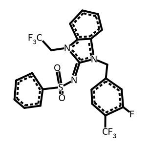 O=S(=O)(/N=c1/n(Cc2ccc(C(F)(F)F)c(F)c2)c2ccccc2n1CC(F)(F)F)c1ccccc1